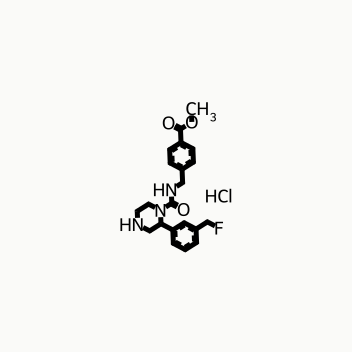 COC(=O)c1ccc(CNC(=O)N2CCNCC2c2cccc(CF)c2)cc1.Cl